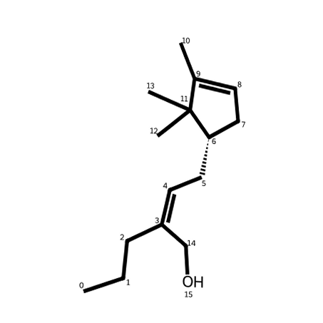 CCCC(=CC[C@H]1CC=C(C)C1(C)C)CO